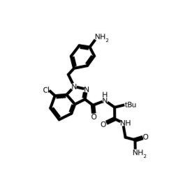 CC(C)(C)C(NC(=O)c1nn(Cc2ccc(N)cc2)c2c(Cl)cccc12)C(=O)NCC(N)=O